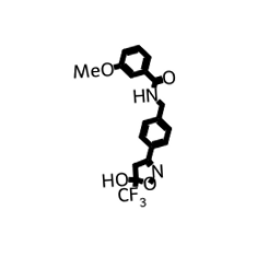 COc1cccc(C(=O)NCc2ccc(C3=NOC(O)(C(F)(F)F)C3)cc2)c1